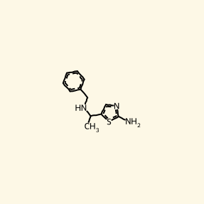 CC(NCc1ccccc1)c1cnc(N)s1